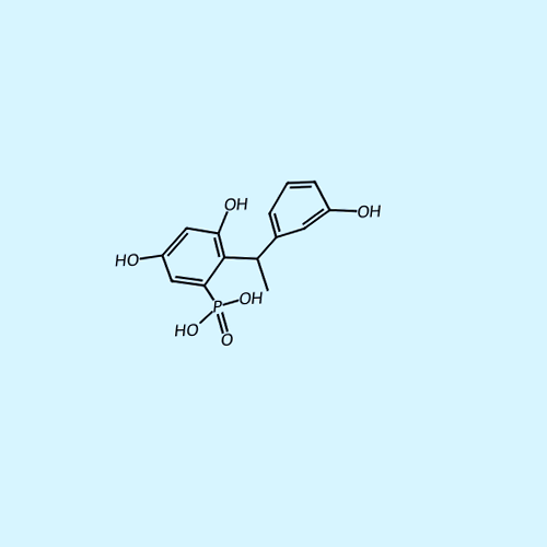 CC(c1cccc(O)c1)c1c(O)cc(O)cc1P(=O)(O)O